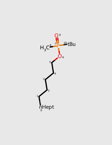 CCCCCCCCCCCCOP(C)(=O)C(C)(C)C